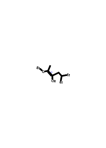 CCO/C(C)=C(\C#N)CC(CC)CC